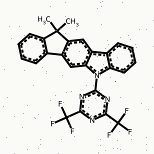 CC1(C)c2ccccc2-c2cc3c(cc21)c1ccccc1n3-c1nc(C(F)(F)F)nc(C(F)(F)F)n1